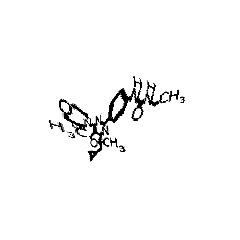 CCNC(=O)Nc1ccc(-c2nc(N3CCOC[C@@H]3C)c3c(n2)[C@](C)(CC2CC2)OC3)cc1